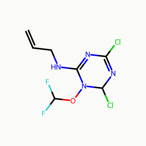 C=CCNC1=NC(Cl)=NC(Cl)N1OC(F)F